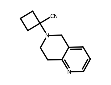 N#CC1(N2CCc3ncccc3C2)CCC1